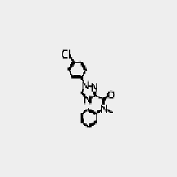 CN(C(=O)c1ncn(-c2ccc(Cl)cc2)n1)c1ccccc1